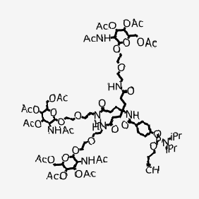 C#CCCOP(OC1CCC(C(=O)NC(CCC(=O)NCCOCCOC2OC(COC(C)=O)C(OC(C)=O)C(OC(C)=O)C2NC(C)=O)(CCC(=O)NCCOCCOC2OC(COC(C)=O)C(OC(C)=O)C(OC(C)=O)C2NC(C)=O)CCC(=O)NCCOCCOC2OC(COC(C)=O)C(OC(C)=O)C(OC(C)=O)C2NC(C)=O)CC1)N(C(C)C)C(C)C